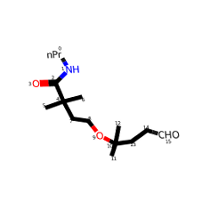 CCCNC(=O)C(C)(C)CCOC(C)(C)CCC=O